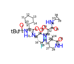 CN(C(=O)[C@H](NC(=O)C(C)(C)C)C1CCCCC1)[C@@H](CC(F)F)C(=O)N[C@@H](C[C@@H]1CCCNC1=O)C(=O)C(=O)NC1CC1